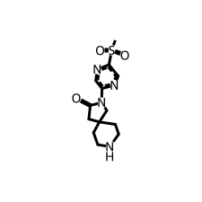 CS(=O)(=O)c1cnc(N2CC3(CCNCC3)CC2=O)cn1